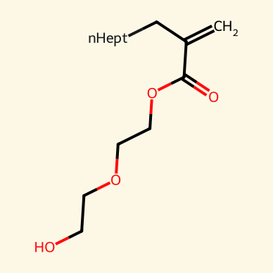 C=C(CCCCCCCC)C(=O)OCCOCCO